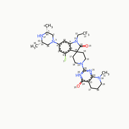 C[C@@H]1CN(c2cc(F)c3c(c2)N(CC(F)(F)F)C(=O)C32CCN(c3nc4c(c(=O)[nH]3)CCCN4C)CC2)C[C@H](C)N1